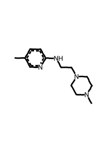 Cc1ccc(NCCN2CCN(C)CC2)nc1